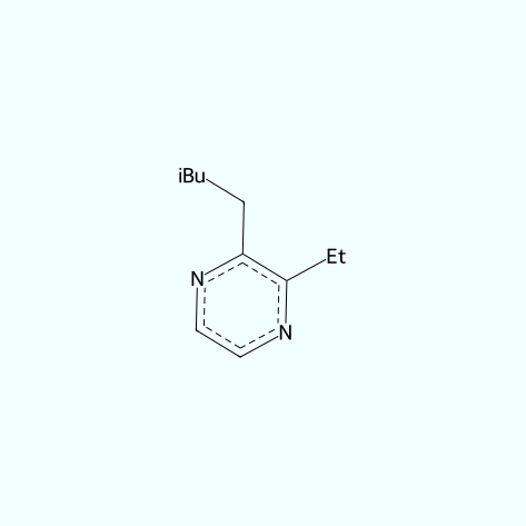 CCc1nccnc1CC(C)CC